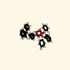 c1ccc(P(c2ccccc2)[C]23[CH]4[CH]5[CH]6[CH]2[Fe]56432789[CH]3[CH]2[CH]7[C]8(P(c2ccccc2)c2ccccc2)[CH]39)cc1.c1ccc(P(c2ccccc2)[C]23[CH]4[CH]5[CH]6[C]2(P(c2ccccc2)c2ccccc2)[Fe]54632789[CH]3[CH]2[CH]7[CH]8[CH]39)cc1